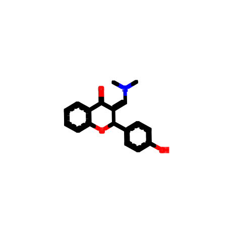 CN(C)C=C1C(=O)c2ccccc2OC1c1ccc(O)cc1